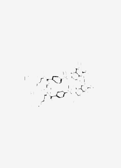 CN1c2c(nc(N)[nH]c2=O)NC[C@@H]1CNc1ccc(C(=O)NC(CCC(=O)[O-])C(=O)O)cc1.CN1c2c(nc(N)[nH]c2=O)NC[C@@H]1CNc1ccc(C(=O)NC(CCC(=O)[O-])C(=O)O)cc1.[Ca+2]